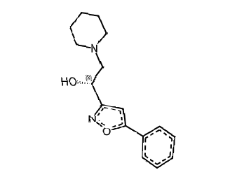 O[C@H](CN1CCCCC1)c1cc(-c2ccccc2)on1